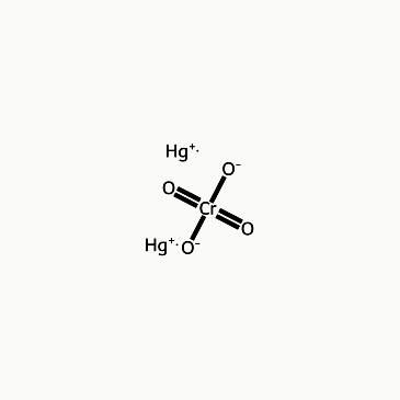 [Hg+].[Hg+].[O]=[Cr](=[O])([O-])[O-]